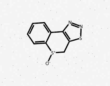 [O-][S+]1Cc2snnc2-c2ccccc21